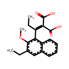 CCC(=C(C(=O)O)C(=O)O)c1c(OC)c(CC)cc2ccccc12